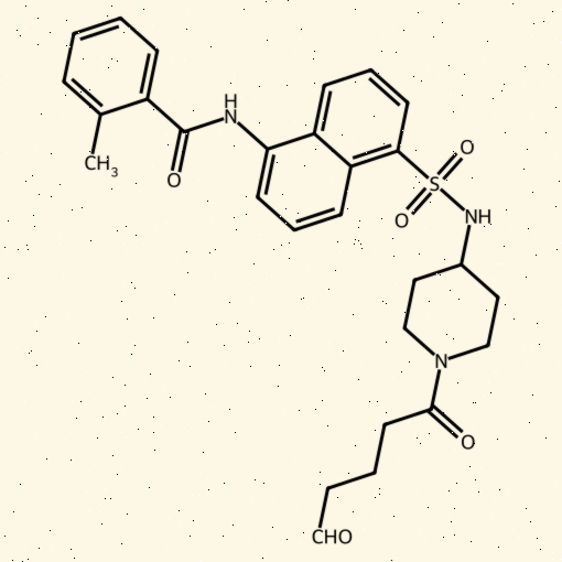 Cc1ccccc1C(=O)Nc1cccc2c(S(=O)(=O)NC3CCN(C(=O)CCCC=O)CC3)cccc12